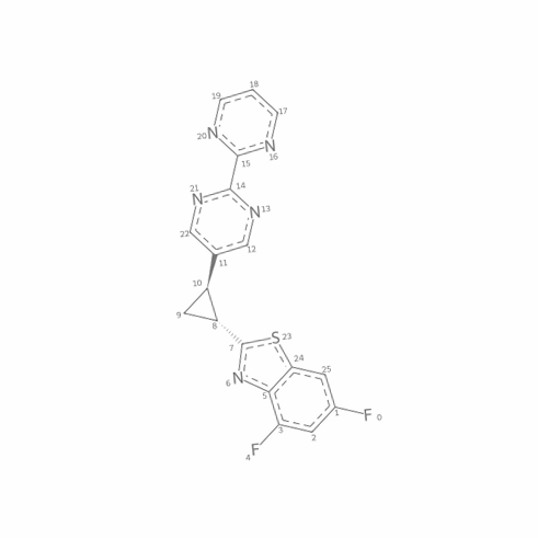 Fc1cc(F)c2nc([C@@H]3C[C@H]3c3cnc(-c4ncccn4)nc3)sc2c1